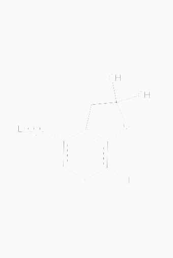 CCOC(=O)c1ccc(I)c2c1CC(C)(C)O2